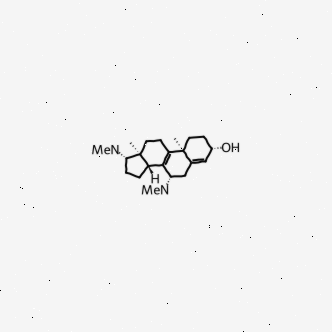 CN[C@H]1CC2=C[C@@H](O)CC[C@]2(C)C2=C1[C@@H]1CC[C@H](NC)[C@@]1(C)CC2